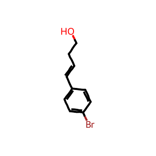 OCC/C=C/c1ccc(Br)cc1